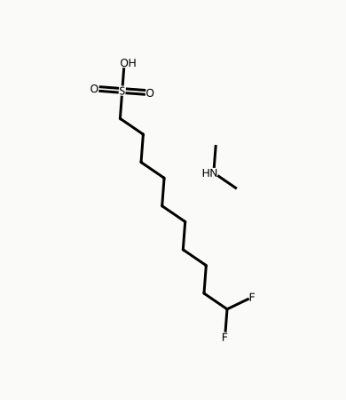 CNC.O=S(=O)(O)CCCCCCCCCC(F)F